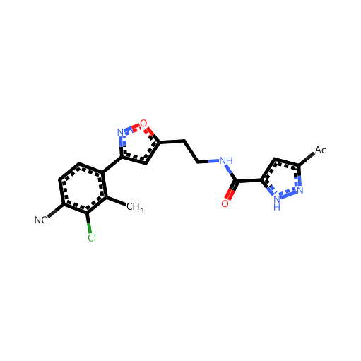 CC(=O)c1cc(C(=O)NCCc2cc(-c3ccc(C#N)c(Cl)c3C)no2)[nH]n1